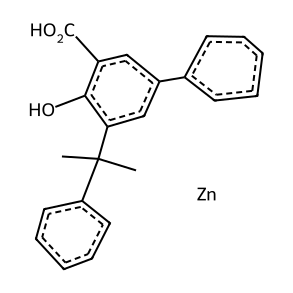 CC(C)(c1ccccc1)c1cc(-c2ccccc2)cc(C(=O)O)c1O.[Zn]